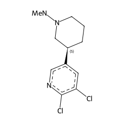 CNN1CCC[C@@H](c2cnc(Cl)c(Cl)c2)C1